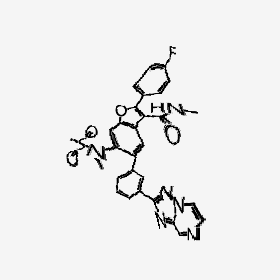 CNC(=O)c1c(-c2ccc(F)cc2)oc2cc(N(C)S(C)(=O)=O)c(-c3cccc(-c4nc5cnccn5n4)c3)cc12